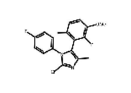 COc1ccc(F)c(-c2c(C)nc(Cl)n2-c2ccc(F)cc2)c1F